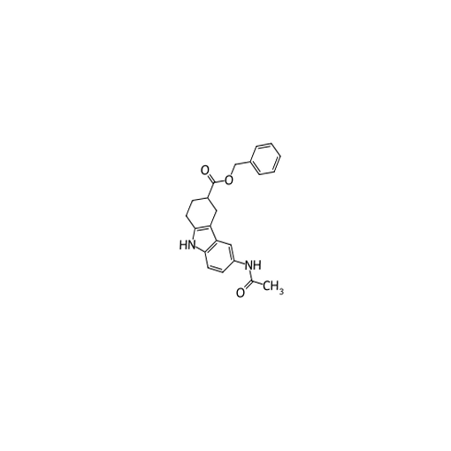 CC(=O)Nc1ccc2[nH]c3c(c2c1)CC(C(=O)OCc1ccccc1)CC3